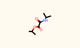 CC(C)NC(=O)C(=O)OC(C)C